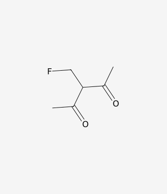 CC(=O)C(CF)C(C)=O